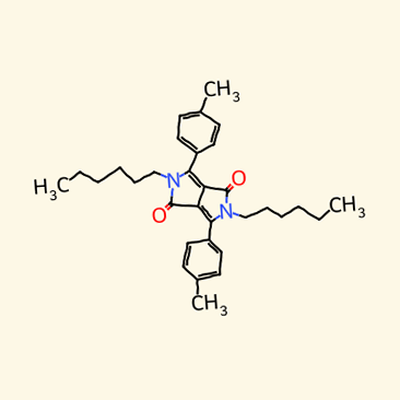 CCCCCCN1C(=O)C2=C(c3ccc(C)cc3)N(CCCCCC)C(=O)C2=C1c1ccc(C)cc1